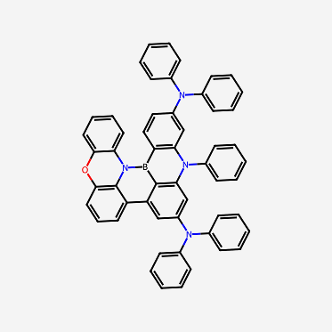 c1ccc(N(c2ccccc2)c2ccc3c(c2)N(c2ccccc2)c2cc(N(c4ccccc4)c4ccccc4)cc4c2B3N2c3ccccc3Oc3cccc-4c32)cc1